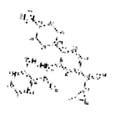 Nc1nccnc1C(=O)Nc1cc(C(=O)C2CC2)ccc1N1CCC(N)CC1